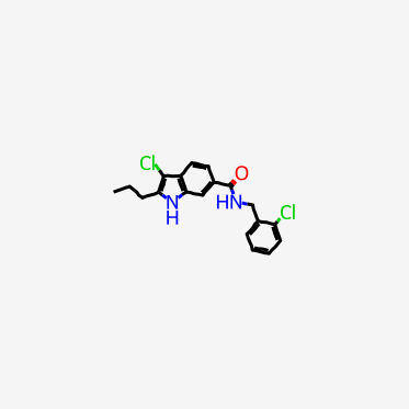 CCCc1[nH]c2cc(C(=O)NCc3ccccc3Cl)ccc2c1Cl